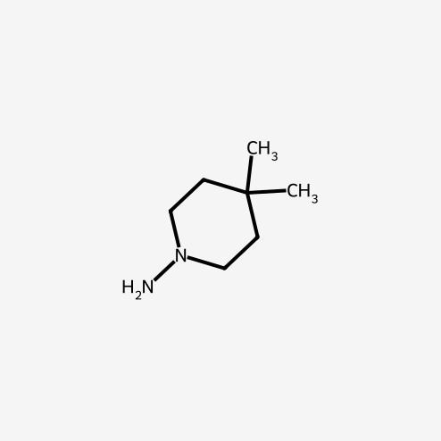 CC1(C)CCN(N)CC1